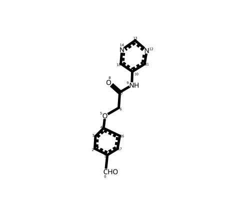 O=Cc1ccc(OCC(=O)Nc2cncnc2)cc1